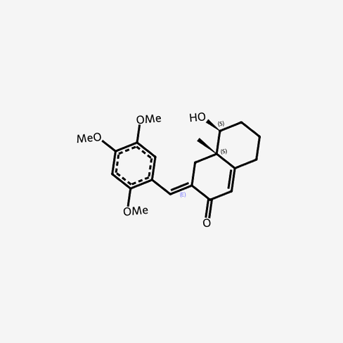 COc1cc(OC)c(OC)cc1/C=C1\C[C@@]2(C)C(=CC1=O)CCC[C@@H]2O